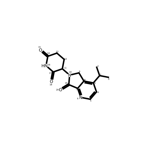 CC(C)c1ccnc2c1CN(C1CCC(=O)NC1=O)C2=O